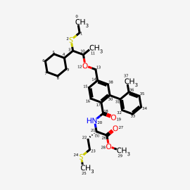 CCSC(C1CCCCC1)C(C)OCc1ccc(C(=O)N[C@@H](CCSC)C(=O)OC)c(-c2ccccc2C)c1